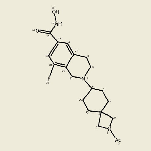 CC(=O)N1CC2(CCC(N3CCc4cc(C(=O)NO)cc(F)c4C3)CC2)C1